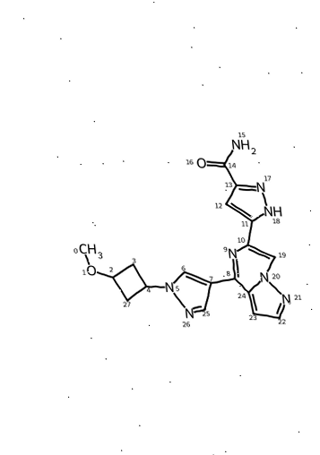 COC1CC(n2cc(-c3nc(-c4cc(C(N)=O)n[nH]4)cn4nccc34)cn2)C1